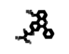 COc1cccc2c1-c1ccc(NC(=S)N(C)C)cc1C(c1ccccc1)O2